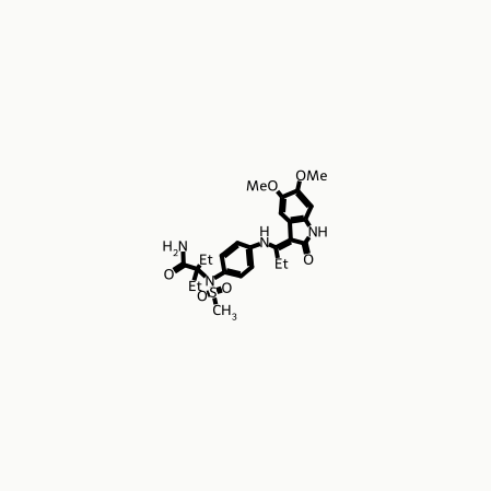 CC/C(Nc1ccc(N(C(CC)(CC)C(N)=O)S(C)(=O)=O)cc1)=C1\C(=O)Nc2cc(OC)c(OC)cc21